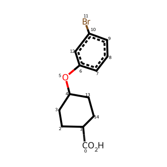 O=C(O)C1CCC(Oc2cccc(Br)c2)CC1